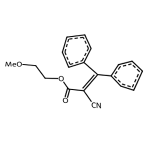 COCCOC(=O)C(C#N)=C(c1ccccc1)c1ccccc1